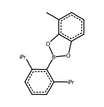 Cc1cccc2c1OB(c1c(C(C)C)cccc1C(C)C)O2